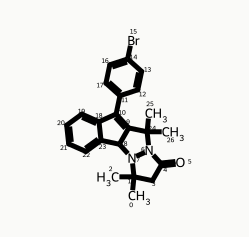 CC1(C)CC(=O)N2N1C1C(=C(c3ccc(Br)cc3)c3ccccc31)C2(C)C